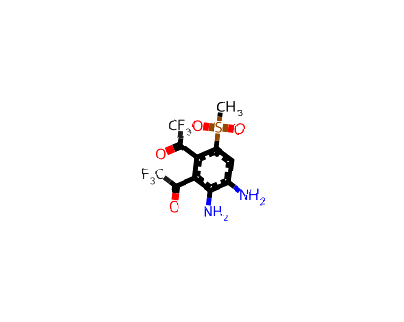 CS(=O)(=O)c1cc(N)c(N)c(C(=O)C(F)(F)F)c1C(=O)C(F)(F)F